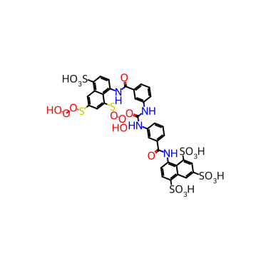 O=C(Nc1cccc(C(=O)Nc2ccc(S(=O)(=O)O)c3cc(SOOO)cc(SOOO)c23)c1)Nc1cccc(C(=O)Nc2ccc(S(=O)(=O)O)c3cc(S(=O)(=O)O)cc(S(=O)(=O)O)c23)c1